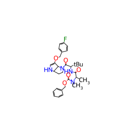 CC(C(=O)NC(C(=O)N1CCC2NC=C(OCc3ccc(F)cc3)C21)C(C)(C)C)N(C)C(=O)OCc1ccccc1